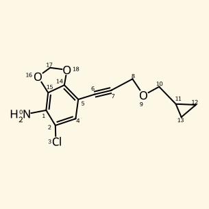 Nc1c(Cl)cc(C#CCOCC2CC2)c2c1OCO2